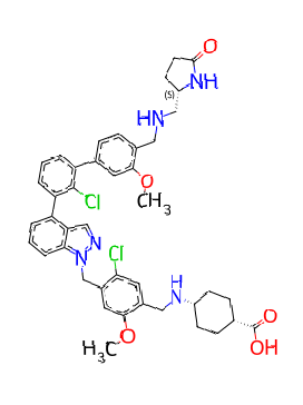 COc1cc(-c2cccc(-c3cccc4c3cnn4Cc3cc(OC)c(CN[C@H]4CC[C@@H](C(=O)O)CC4)cc3Cl)c2Cl)ccc1CNC[C@@H]1CCC(=O)N1